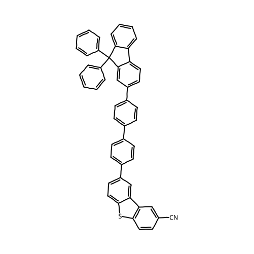 N#Cc1ccc2sc3ccc(-c4ccc(-c5ccc(-c6ccc7c(c6)C(c6ccccc6)(c6ccccc6)c6ccccc6-7)cc5)cc4)cc3c2c1